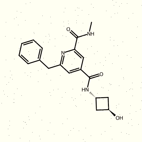 CNC(=O)c1cc(C(=O)N[C@H]2C[C@H](O)C2)cc(Cc2ccccc2)n1